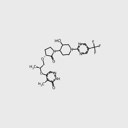 Cc1c(O[C@@H](C)CO[C@@H]2CCN(C3CCN(c4ncc(C(F)(F)F)cn4)CC3O)C2=O)cn[nH]c1=O